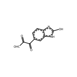 O=CC(=O)C(=O)c1ccc2nc(O)[nH]c2c1